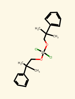 CC(C)(C[O][Zr]([Cl])([Cl])[O]CC(C)(C)c1ccccc1)c1ccccc1